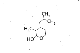 CC(C)CC1CCOC(O)C1C